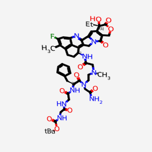 CC[C@@]1(O)C(=O)OCc2c1cc1n(c2=O)Cc2c-1nc1cc(F)c(C)c3c1c2[C@@H](NC(=O)CN(C)CCN(CC(N)=O)C(=O)[C@H](Cc1ccccc1)NC(=O)CNC(=O)CNC(=O)OC(C)(C)C)CC3